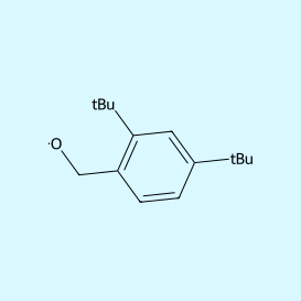 CC(C)(C)c1ccc(C[O])c(C(C)(C)C)c1